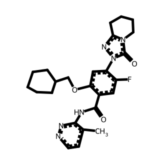 Cc1ccnnc1NC(=O)c1cc(F)c(-n2nc3n(c2=O)CCCC3)cc1OCC1CCCCC1